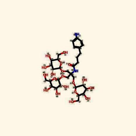 Nc1ccc(CCCC(=O)NC(CO[C@@H]2O[C@H](CO)[C@H](O)[C@H](O)[C@H]2O)(CO[C@@H]2O[C@H](CO)[C@H](O)[C@H](O)[C@H]2O)CO[C@@H]2O[C@H](CO)[C@H](O)[C@H](O)[C@H]2O)cc1